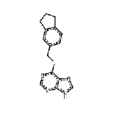 c1nc(SCc2ccc3c(c2)CCC3)c2nc[nH]c2n1